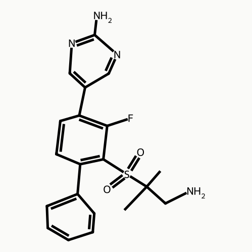 CC(C)(CN)S(=O)(=O)c1c(-c2ccccc2)ccc(-c2cnc(N)nc2)c1F